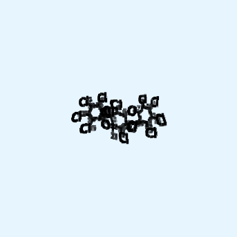 CC1(Cl)C(Cl)=C(Oc2c(Cl)c(Cl)c(Cl)c(Cl)c2Cl)C(Cl)=C(Cl)C1(C)Oc1c(Cl)c(Cl)c(Cl)c(Cl)c1Cl